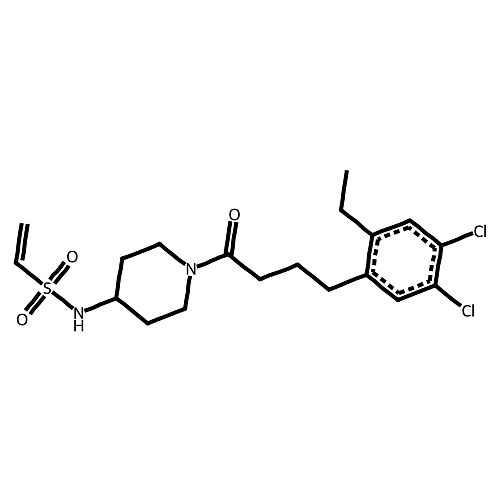 C=CS(=O)(=O)NC1CCN(C(=O)CCCc2cc(Cl)c(Cl)cc2CC)CC1